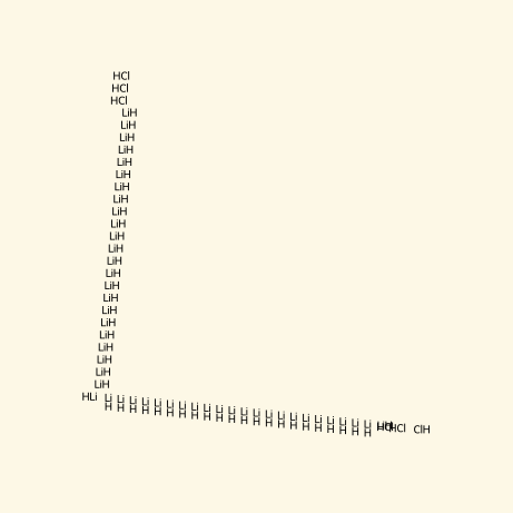 Cl.Cl.Cl.Cl.Cl.Cl.[LiH].[LiH].[LiH].[LiH].[LiH].[LiH].[LiH].[LiH].[LiH].[LiH].[LiH].[LiH].[LiH].[LiH].[LiH].[LiH].[LiH].[LiH].[LiH].[LiH].[LiH].[LiH].[LiH].[LiH].[LiH].[LiH].[LiH].[LiH].[LiH].[LiH].[LiH].[LiH].[LiH].[LiH].[LiH].[LiH].[LiH].[LiH].[LiH].[LiH].[LiH].[LiH].[LiH].[LiH].[LiH].[LiH].[LiH]